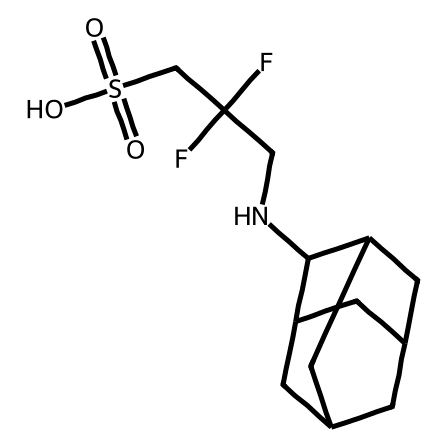 O=S(=O)(O)CC(F)(F)CNC1C2CC3CC(C2)CC1C3